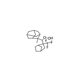 CC1(C(OO)C2(C(F)(F)F)CC3CCC2C3)C2CC3CC(C2)CC1C3